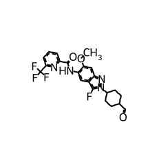 COc1cc2nn(C3CCC(C=O)CC3)c(F)c2cc1NC(=O)c1cccc(C(F)(F)F)n1